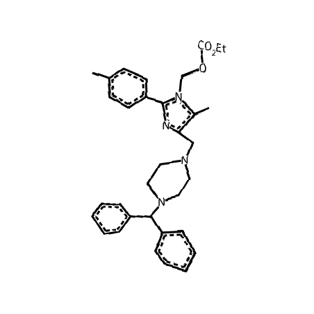 CCOC(=O)OCn1c(-c2ccc(C)cc2)nc(CN2CCN(C(c3ccccc3)c3ccccc3)CC2)c1C